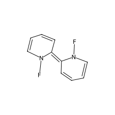 FN1C=CC=CC1=C1C=CC=CN1F